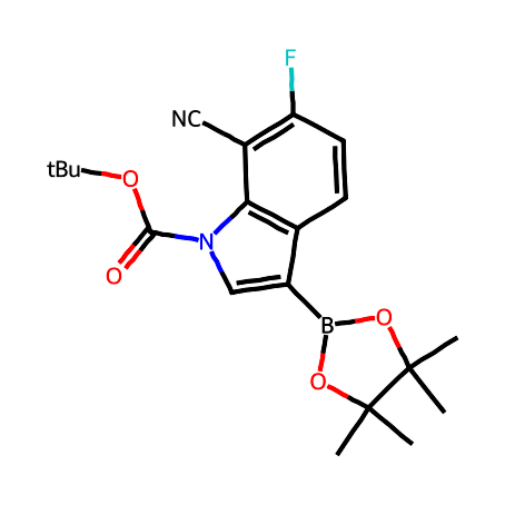 CC(C)(C)OC(=O)n1cc(B2OC(C)(C)C(C)(C)O2)c2ccc(F)c(C#N)c21